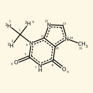 [2H]C([2H])([2H])n1c(=O)[nH]c(=O)c2c1ncn2C